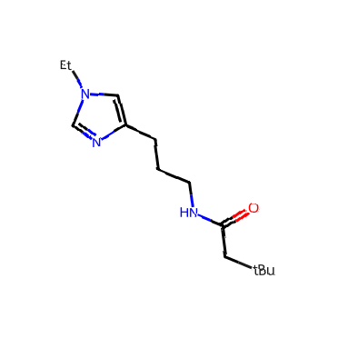 CCn1cnc(CCCNC(=O)CC(C)(C)C)c1